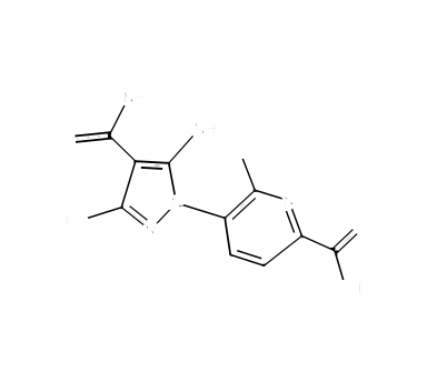 CC(=O)c1ccc(-n2nc(C)c(C(N)=O)c2N)c(C)n1